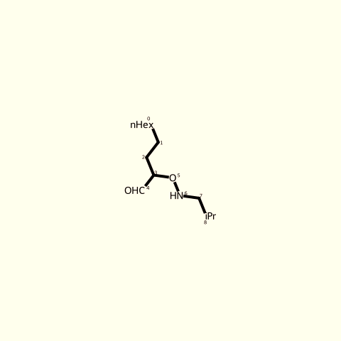 CCCCCCCCC(C=O)ONCC(C)C